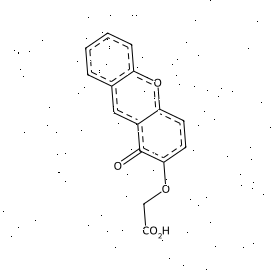 O=C(O)COc1ccc2oc3ccccc3cc-2c1=O